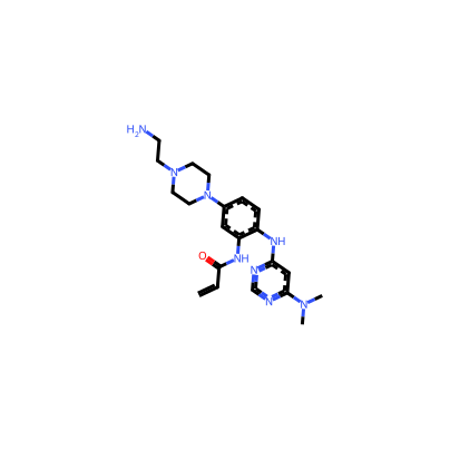 C=CC(=O)Nc1cc(N2CCN(CCN)CC2)ccc1Nc1cc(N(C)C)ncn1